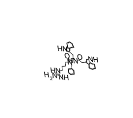 N=C(N)NCCCCN(Cc1ccccc1)C(=O)C(Cc1c[nH]c2ccccc12)NC(=O)Cc1c[nH]c2ccccc12